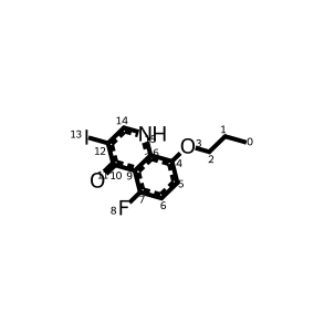 CCCOc1ccc(F)c2c(=O)c(I)c[nH]c12